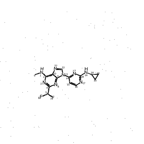 CNc1nc(C(F)F)nc2c1ncn2-c1ccnc(NC2CC2)n1